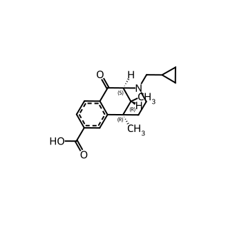 C[C@H]1[C@H]2C(=O)c3ccc(C(=O)O)cc3[C@]1(C)CCN2CC1CC1